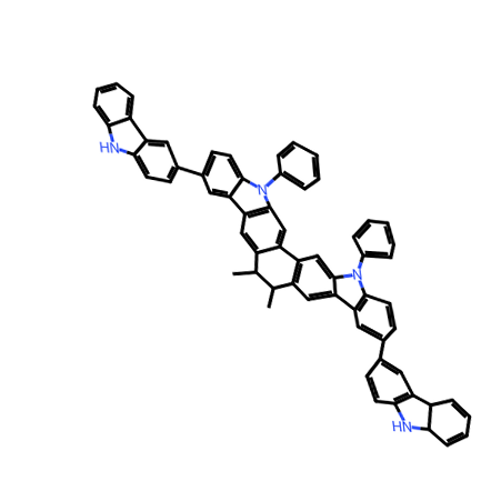 CC1c2cc3c4cc(-c5ccc6c(c5)C5C=CC=CC5N6)ccc4n(-c4ccccc4)c3cc2-c2cc3c(cc2C1C)c1cc(-c2ccc4[nH]c5ccccc5c4c2)ccc1n3-c1ccccc1